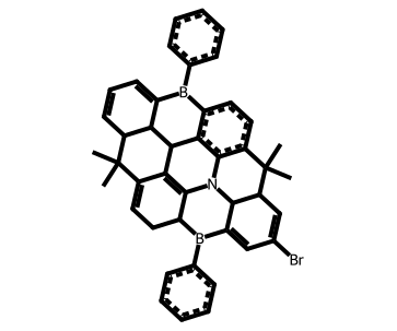 CC1(C)C2=CCC3B(c4ccccc4)C4=CC(Br)=CC5C4N4C3=C2C2c3c(ccc(c34)C5(C)C)B(c3ccccc3)C3=CC=CC1C32